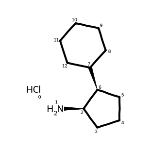 Cl.N[C@@H]1CCC[C@@H]1C1CCCCC1